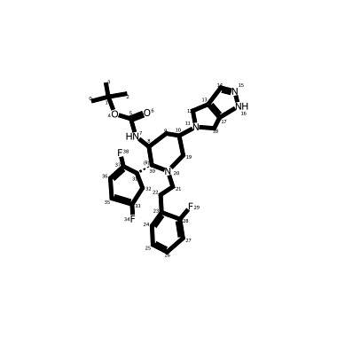 CC(C)(C)OC(=O)NC1CC(N2Cc3cn[nH]c3C2)CN(CCc2ccccc2F)[C@@H]1C1CC(F)=CC=C1F